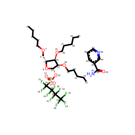 CCCCCOC[C@H]1O[C@@H](OS(=O)(=O)C(F)(F)C(F)(F)C(F)(F)C(F)(F)F)[C@H](OCCCCC)[C@@H]1OCCCCC.NC(=O)c1cccnc1